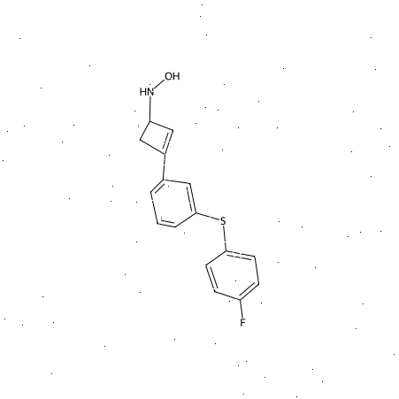 ONC1C=C(c2cccc(Sc3ccc(F)cc3)c2)C1